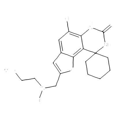 COCCN(Cc1cc2cc(Cl)c3c(c2o1)C1(CCCCC1)NC(=O)N3)C(C)C